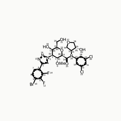 CO[C@@H]1[C@@H](n2cc(-c3ccc(Br)c(F)c3F)nn2)[C@@H](O)[C@@H](CO)O[C@H]1C(=O)N(c1cc(Cl)cc(Cl)c1)[C@H]1COC[C@@H]1O